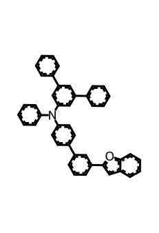 c1ccc(-c2cc(-c3ccccc3)cc(N(c3ccccc3)c3ccc(-c4cccc(-c5cc6ccccc6o5)c4)cc3)c2)cc1